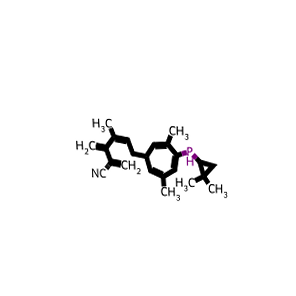 C=C(C#N)C(=C)C(C)=CCC1C=C(C)C=C(PC2CC2(C)C)C(C)=C1